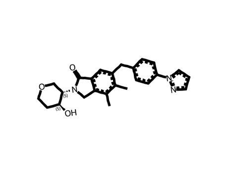 Cc1c(Cc2ccc(-n3cccn3)cc2)cc2c(c1C)CN([C@H]1COCC[C@@H]1O)C2=O